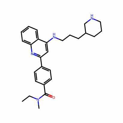 CCN(C)C(=O)c1ccc(-c2cc(NCCCC3CCCNC3)c3ccccc3n2)cc1